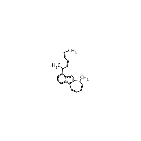 C/C=C\C=C/C(C)c1cccc2c3c(sc12)C(C)C=CC=C3